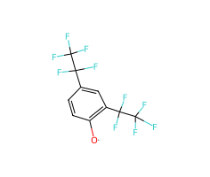 [O]c1ccc(C(F)(F)C(F)(F)F)cc1C(F)(F)C(F)(F)F